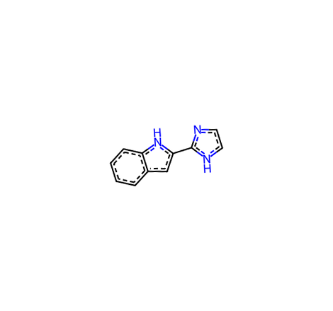 c1ccc2[nH]c(-c3ncc[nH]3)cc2c1